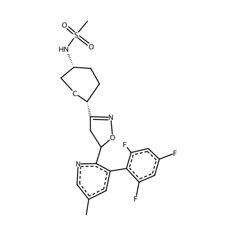 Cc1cnc(C2CC([C@H]3CC[C@@H](NS(C)(=O)=O)CC3)=NO2)c(-c2c(F)cc(F)cc2F)c1